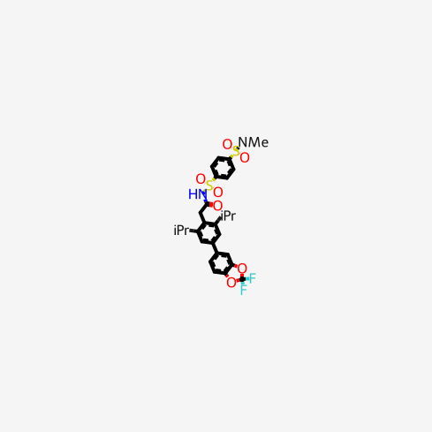 CNS(=O)(=O)c1ccc(S(=O)(=O)NC(=O)Cc2c(C(C)C)cc(-c3ccc4c(c3)OC(F)(F)O4)cc2C(C)C)cc1